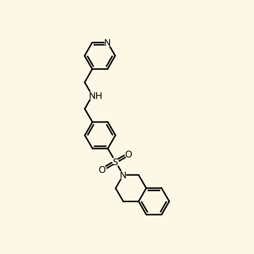 O=S(=O)(c1ccc(CNCc2ccncc2)cc1)N1CCc2ccccc2C1